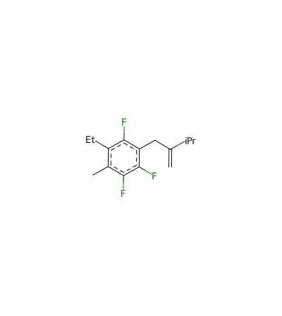 C=C(Cc1c(F)c(F)c(C)c(CC)c1F)C(C)C